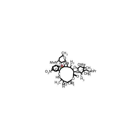 CCCNC[C@]1(O)[C@H](C)O[C@@H](OC2C(C)C(=O)OC(CC)C(C)(O)C(O)C(C)NCC(C)CC(C)(O)C(O[C@@H]3O[C@H](C)C[C@H](NC)[C@H]3Oc3ccc([N+](=O)[O-])cc3)C2C)C[C@@]1(C)OC